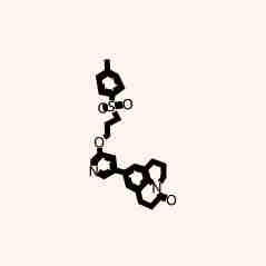 Cc1ccc(S(=O)(=O)CCCOc2cncc(-c3cc4c5c(c3)CCC(=O)N5CCC4)c2)cc1